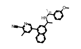 COc1cccc([C@@H](C)NC(C)c2cc(-c3cnc(C#N)c(C)c3)c3ccccc3c2)c1